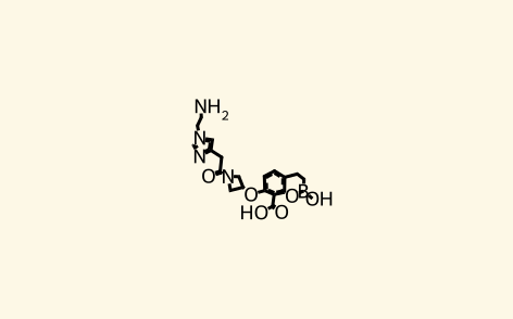 NCCn1cnc(CC(=O)N2CC(Oc3ccc4c(c3C(=O)O)OB(O)CC4)C2)c1